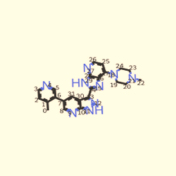 Cc1ccncc1-c1cnc2[nH]nc(-c3nc4c(N5CCN(C)CC5)ccnc4[nH]3)c2c1